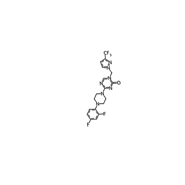 O=c1nc(N2CCN(c3ccc(F)cc3F)CC2)ncn1Cn1ccc(C(F)(F)F)n1